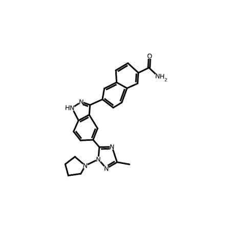 Cc1nc(-c2ccc3[nH]nc(-c4ccc5cc(C(N)=O)ccc5c4)c3c2)n(N2CCCC2)n1